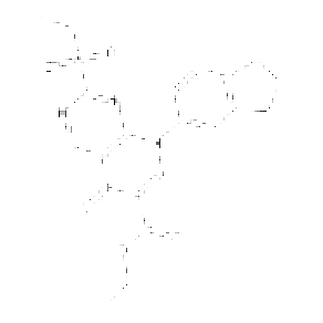 CCOC(=O)c1cn(-c2ccc3c(c2)CCC3)c2nc(S(=O)(=O)CC)ncc2c1=O